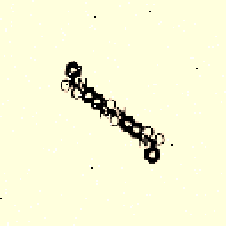 O=C(c1ccccc1)c1nc2cc3cc4oc(-c5nc6cc7cc8oc(C(=O)c9ccccc9)nc8cc7cc6o5)nc4cc3cc2o1